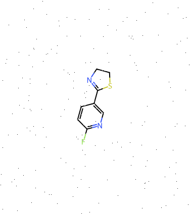 Fc1ccc(C2=NCCS2)cn1